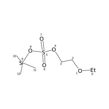 CCOCCOS(=O)(=O)O[Si](C)(C)C